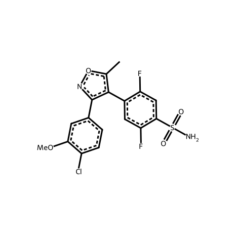 COc1cc(-c2noc(C)c2-c2cc(F)c(S(N)(=O)=O)cc2F)ccc1Cl